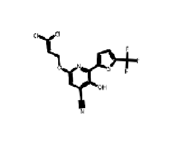 N#Cc1cc(OCC=C(Cl)Cl)nc(-c2ccc(C(F)(F)F)s2)c1O